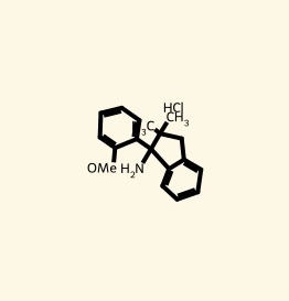 COc1ccccc1C1(N)c2ccccc2CC1(C)C.Cl